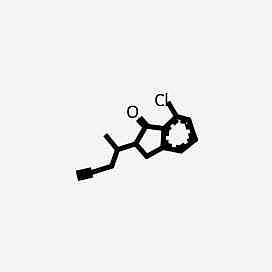 C#CCC(C)C1Cc2cccc(Cl)c2C1=O